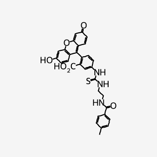 Cc1ccc(C(=O)NCCNC(=S)Nc2ccc(-c3c4ccc(=O)cc-4oc4cc(O)ccc34)c(C(=O)O)c2)cc1